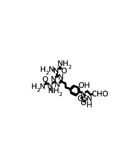 NC(=O)N(N)c1nc(CCc2ccc(N3CC(C=O)NS3(=O)=O)c(O)c2)nc(N(N)C(N)=O)n1